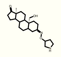 C[C@]12CCC3C(CCC4CC(=NOC5CCNC5)CC[C@@]43CO)C1CCC2=O